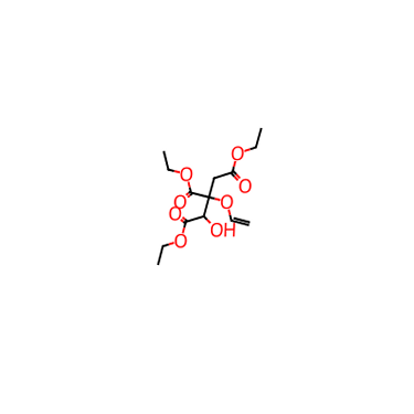 C=COC(CC(=O)OCC)(C(=O)OCC)C(O)C(=O)OCC